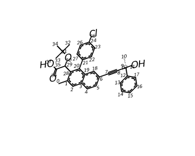 Cc1cc2ccc(C#C[C@@](C)(O)c3ccccc3)cc2c(-c2ccc(Cl)cc2)c1C(OC(C)(C)C)C(=O)O